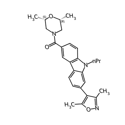 CCCn1c2ccc(C(=O)N3C[C@@H](C)O[C@@H](C)C3)cc2c2ccc(-c3c(C)noc3C)cc21